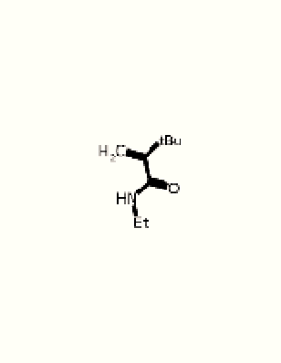 C=C(C(=O)NCC)C(C)(C)C